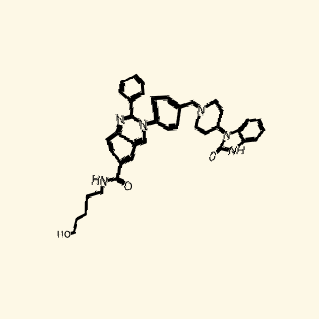 O=C(NCCCCCO)c1ccc2c(c1)=CN(c1ccc(CN3CCC(n4c(=O)[nH]c5ccccc54)CC3)cc1)C(c1ccccc1)N=2